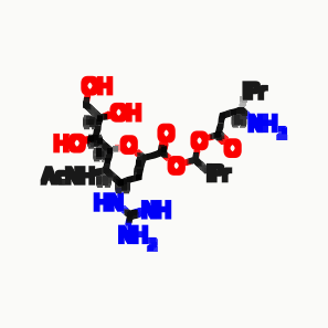 CC(=O)N[C@H]1[C@H]([C@@H](O)[C@H](O)CO)OC(C(=O)OC(OC(=O)C[C@@H](N)C(C)C)C(C)C)=C[C@@H]1NC(=N)N